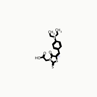 CCN(CC)c1ccc(/C=C2/SC(=S)N(CC(=O)O)C2=O)cc1